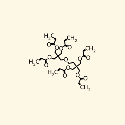 C=CC(=O)OCC(CCOCC(COC(=O)C=C)(COC(=O)C=C)COC(=O)C=C)(COC(=O)C=C)COC(=O)C=C